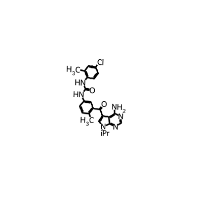 Cc1cc(Cl)ccc1NC(=O)Nc1ccc(C)c(C(=O)c2cn(C(C)C)c3ncnc(N)c23)c1